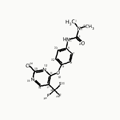 CN(C)C(=O)Nc1ccc(Oc2nc(Cl)ncc2C(F)(F)F)cc1